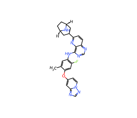 Cc1cc(Nc2ncnc3ccc(C4C[C@H]5CC[C@@H](C4)N5)nc23)c(F)cc1Oc1ccn2ncnc2c1